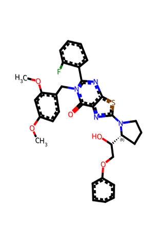 COc1ccc(Cn2c(-c3ccccc3F)nc3sc(N4CCC[C@@H]4C(O)COc4ccccc4)nc3c2=O)c(OC)c1